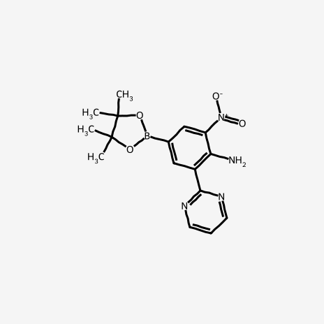 CC1(C)OB(c2cc(-c3ncccn3)c(N)c([N+](=O)[O-])c2)OC1(C)C